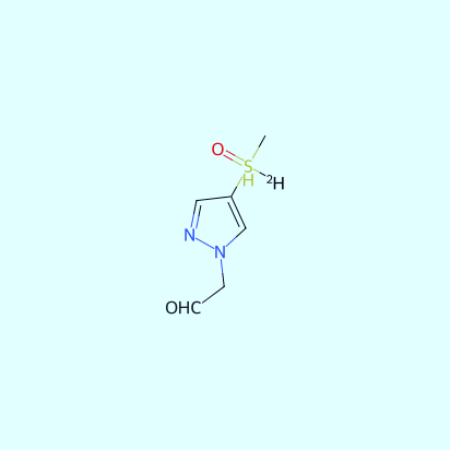 [2H][SH](C)(=O)c1cnn(CC=O)c1